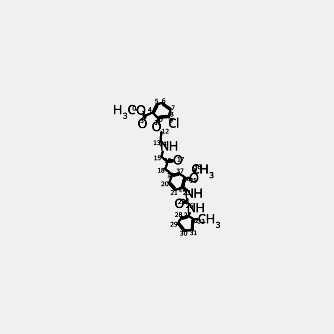 COC(=O)c1cccc(Cl)c1OCCNCC(=O)Cc1ccc(NC(=O)Nc2ccccc2C)c(OC)c1